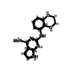 CNc1nc(Nc2cc[c]c3c2OCCO3)nc2[nH]ccc12